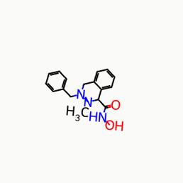 CN1C(C(=O)NO)c2ccccc2CN1Cc1ccccc1